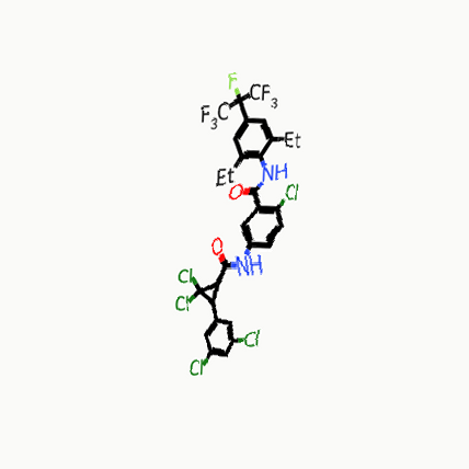 CCc1cc(C(F)(C(F)(F)F)C(F)(F)F)cc(CC)c1NC(=O)c1cc(NC(=O)C2C(c3cc(Cl)cc(Cl)c3)C2(Cl)Cl)ccc1Cl